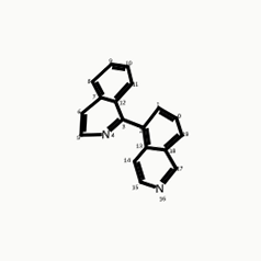 c1cc(-c2nccc3ccccc23)c2ccncc2c1